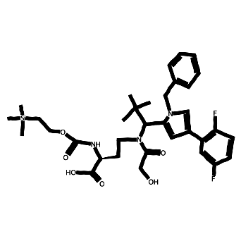 CC(C)(C)C(c1cc(-c2cc(F)ccc2F)cn1Cc1ccccc1)N(CC[C@H](NC(=O)OCC[Si](C)(C)C)C(=O)O)C(=O)CO